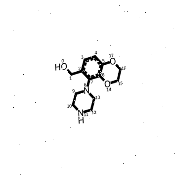 OCc1ccc2c(c1N1CCNCC1)OCCO2